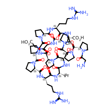 CC(C)[C@H](NC(=O)[C@H](CCCNC(=N)N)NC(=O)[C@@H]1CCCN1C(=O)[C@@H]1CCCN1C(=O)CNC(=O)[C@@H]1CCCN1C(=O)[C@@H]1CCCN1C(=O)[C@@H]1CCCN1C(=O)CN)C(=O)N[C@@H](CO)C(=O)N1CCC[C@H]1C(=O)N[C@@H](CC(=O)O)C(=O)N1CCC[C@H]1C(=O)N[C@@H](CCCNC(=N)N)C(=O)N[C@@H](C)C(=O)O